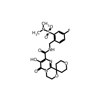 CN(C)S(=O)(=O)c1cc(F)ccc1CNC(=O)c1nc2n(c(=O)c1O)CCOC21CCOCC1